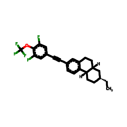 CC[C@@H]1CC[C@@H]2c3ccc(C#Cc4cc(F)c(OC(F)(F)F)c(F)c4)cc3CC[C@@H]2C1